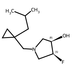 CC(C)CC1(CN2C[C@@H](O)[C@@H](F)C2)CC1